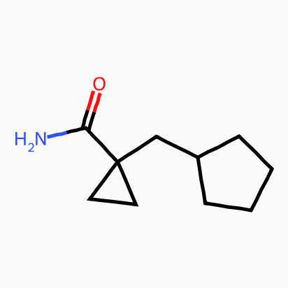 NC(=O)C1(CC2CCCC2)CC1